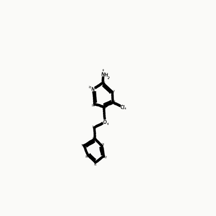 Nc1cc(Cl)c(OCc2ccccc2)cn1